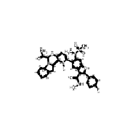 CNC(=O)c1c(-c2ccc(F)cc2)oc2cc(N(C)S(C)(=O)=O)c(C3=CC=C4OC(C(N)=O)N5C(=C4N3F)Cc3ccccc35)cc12